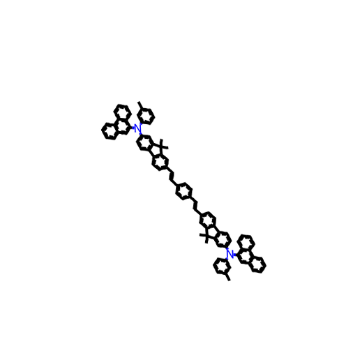 Cc1cccc(N(c2ccc3c(c2)C(C)(C)c2cc(/C=C/c4ccc(/C=C/c5ccc6c(c5)C(C)(C)c5cc(N(c7cccc(C)c7)c7cc8ccccc8c8ccccc78)ccc5-6)cc4)ccc2-3)c2cc3ccccc3c3ccccc23)c1